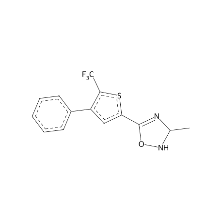 CC1N=C(c2cc(-c3ccccc3)c(C(F)(F)F)s2)ON1